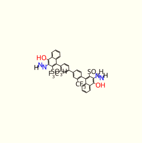 [H]/N=N/c1c(S(=O)(=O)O)c(-c2ccc(-c3ccc(-c4c(S(=O)(=O)O)c(/N=N/[H])c(O)c5ccccc45)c(C(F)(F)F)c3)cc2C(F)(F)F)c2ccccc2c1O